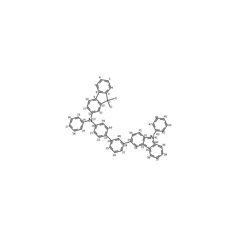 CC1(C)c2ccccc2-c2ccc(N(c3ccccc3)c3ccc(-c4cccc(-c5ccc6c(c5)c5ccccc5n6-c5ccccc5)c4)cc3)cc21